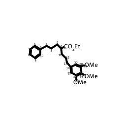 CCOC(=O)C(CCCc1ccccc1)CCCc1cc(OC)c(OC)c(OC)c1